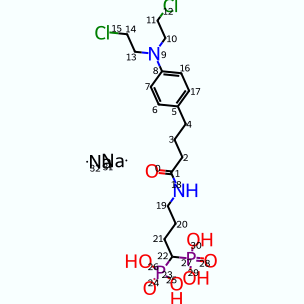 O=C(CCCc1ccc(N(CCCl)CCCl)cc1)NCCCC(P(=O)(O)O)P(=O)(O)O.[Na].[Na]